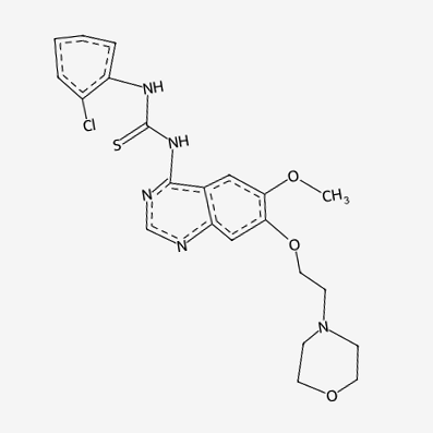 COc1cc2c(NC(=S)Nc3ccccc3Cl)ncnc2cc1OCCN1CCOCC1